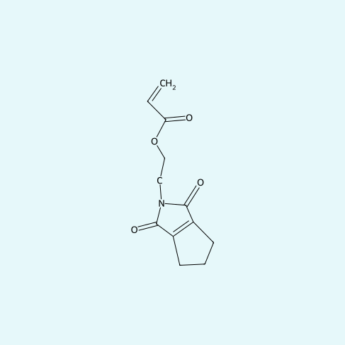 C=CC(=O)OCCN1C(=O)C2=C(CCC2)C1=O